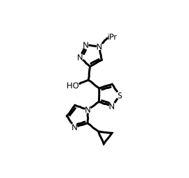 CC(C)n1cc(C(O)c2csnc2-n2ccnc2C2CC2)nn1